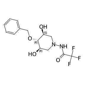 O=C(NN1C[C@@H](O)[C@H](OCc2ccccc2)[C@@H](O)C1)C(F)(F)F